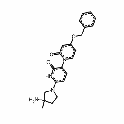 CC1(N)CCN(c2ccc(-n3ccc(OCc4ccccc4)cc3=O)c(=O)[nH]2)C1